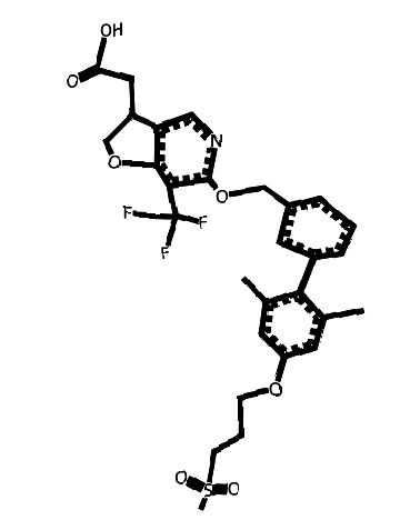 Cc1cc(OCCCS(C)(=O)=O)cc(C)c1-c1cccc(COc2ncc3c(c2C(F)(F)F)OCC3CC(=O)O)c1